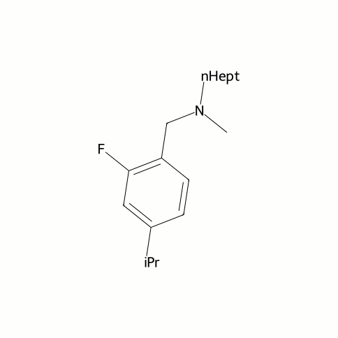 CCCCCCCN(C)Cc1ccc(C(C)C)cc1F